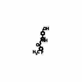 Cc1cc(C(=O)/C=C/c2cc(-c3ccc(CO)cc3)n[nH]2)ccc1F